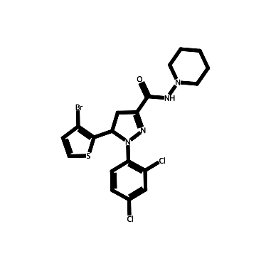 O=C(NN1CCCCC1)C1=NN(c2ccc(Cl)cc2Cl)C(c2sccc2Br)C1